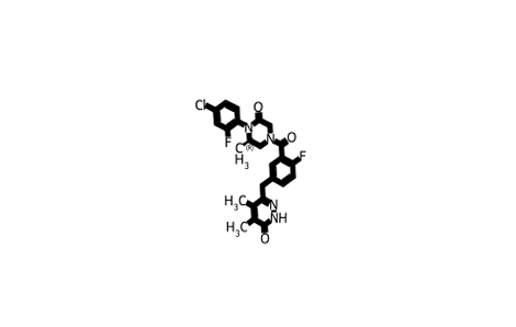 Cc1c(Cc2ccc(F)c(C(=O)N3CC(=O)N(c4ccc(Cl)cc4F)[C@H](C)C3)c2)n[nH]c(=O)c1C